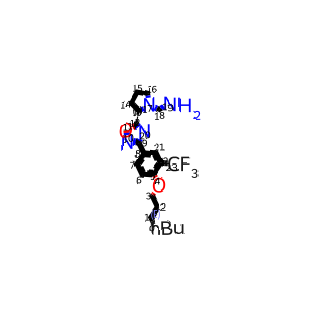 CCCC/C=C/COc1ccc(-c2noc([C@@H]3CCCN3CN)n2)cc1C(F)(F)F